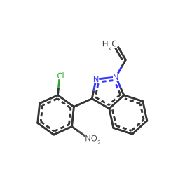 C=Cn1nc(-c2c(Cl)cccc2[N+](=O)[O-])c2ccccc21